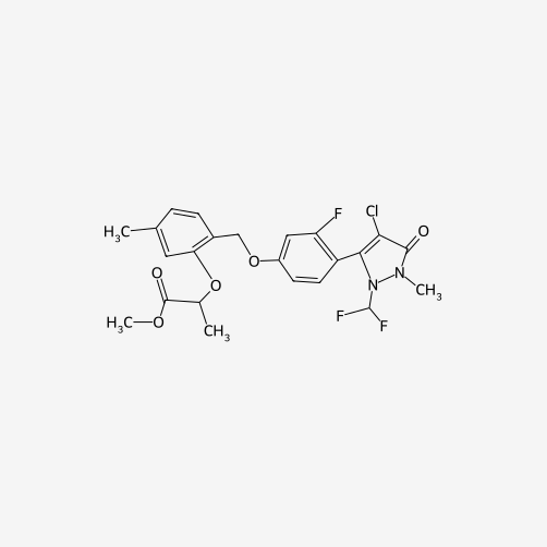 COC(=O)C(C)Oc1cc(C)ccc1COc1ccc(-c2c(Cl)c(=O)n(C)n2C(F)F)c(F)c1